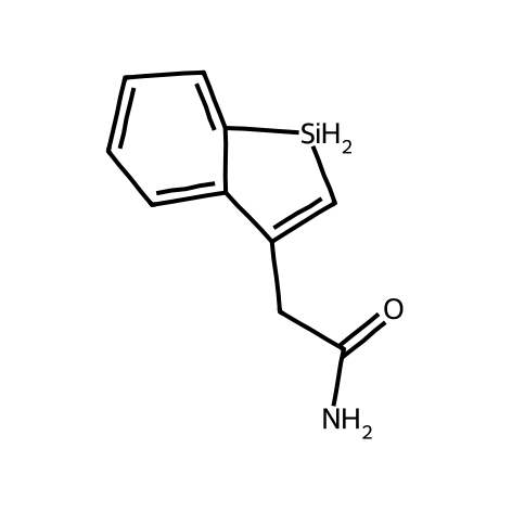 NC(=O)CC1=C[SiH2]c2ccccc21